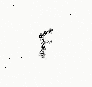 CCOP(=O)(OCC)OCc1ccc(NC(=O)c2ccccc2NC(=O)CC[C@H](NC(=O)c2ccc(NCc3cnc4[nH]c(N)nc(=O)c4n3)cc2)C(=O)O)cc1